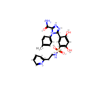 Cc1ccc(-n2c(C(N)=O)nnc2-c2cc(S(=O)(=O)NCCc3ccccn3)c(O)cc2O)cc1